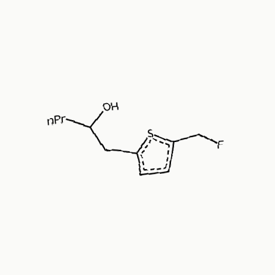 CCCC(O)Cc1ccc(CF)s1